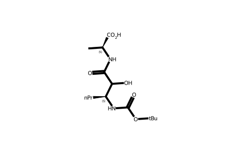 CCC[C@H](NC(=O)OC(C)(C)C)C(O)C(=O)N[C@@H](C)C(=O)O